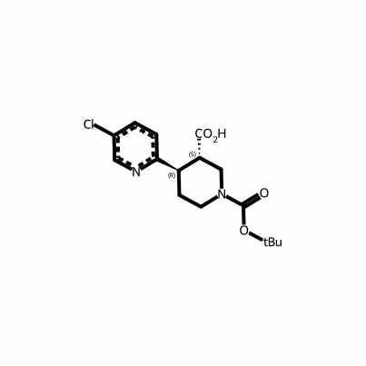 CC(C)(C)OC(=O)N1CC[C@@H](c2ccc(Cl)cn2)[C@H](C(=O)O)C1